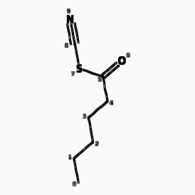 CCCCCC(=O)SC#N